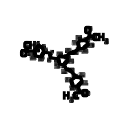 CC(=O)c1ccc(/C=C/c2cc(/C=C/c3ccc(C(C)=O)cc3)cc(/C=C/c3ccc(C(C)=O)cc3)c2)cc1